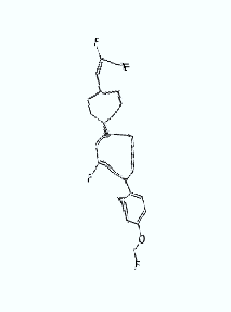 FCOc1ccc(-c2ccc(C3CCC(C=C(F)F)CC3)cc2F)cc1